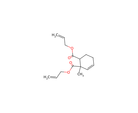 C=CCOC(=O)C1CCC=CC1(C)C(=O)OCC=C